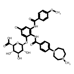 COc1ccc(C(=O)Nc2cc(Cl)cc(O[C@@H]3O[C@H](C(=O)O)[C@@H](O)[C@H](O)[C@H]3O)c2NC(=O)c2ccc(N3CCCN(C)CC3)cc2)cc1